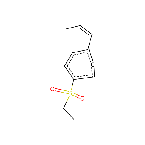 C/C=C\c1ccc(S(=O)(=O)CC)cc1